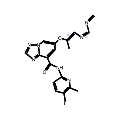 C=N/C=N\C=C(/C)Oc1cc(C(=O)Nc2ccc(F)c(C)n2)c2ncnn2c1